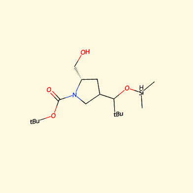 C[SiH](C)OC(C1C[C@@H](CO)N(C(=O)OC(C)(C)C)C1)C(C)(C)C